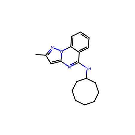 Cc1cc2nc(NC3CCCCCCC3)c3ccccc3n2n1